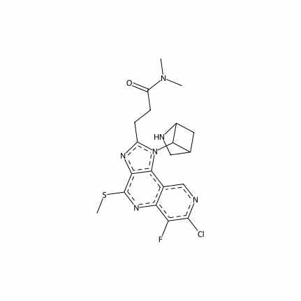 CSc1nc2c(F)c(Cl)ncc2c2c1nc(CCC(=O)N(C)C)n2C1C2CNC1C2